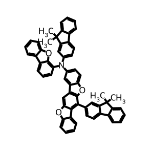 CC1(C)c2ccccc2-c2ccc(-c3c4oc5ccc(N(c6ccc7c(c6)C(C)(C)c6ccccc6-7)c6cccc7c6oc6ccccc67)cc5c4cc4oc5ccccc5c34)cc21